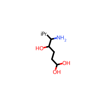 CC(C)C(N)C(O)CCC(O)O